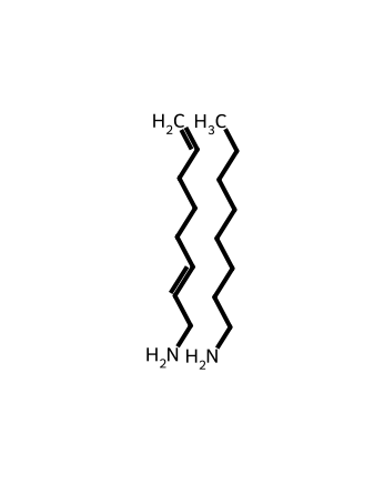 C=CCCCC=CCN.CCCCCCCCN